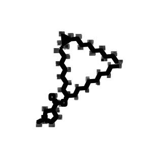 CCCCCCCCCC(CCCCCCC[C@@H]1CC1CCCCCCCC)OC(=O)C1CCN(C)C1